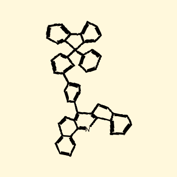 c1ccc(C2(c3cccc(-c4ccc(-c5c6ccc7ccccc7c6nc6c5ccc5ccccc56)cc4)c3)c3ccccc3-c3ccccc32)cc1